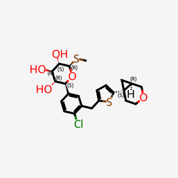 CS[C@H]1O[C@@H](c2ccc(Cl)c(Cc3ccc([C@@]45CCOC[C@@H]4C5)s3)c2)[C@H](O)[C@@H](O)[C@@H]1O